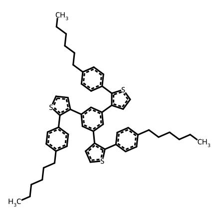 CCCCCCc1ccc(-c2sccc2-c2cc(-c3ccsc3-c3ccc(CCCCCC)cc3)cc(-c3ccsc3-c3ccc(CCCCCC)cc3)c2)cc1